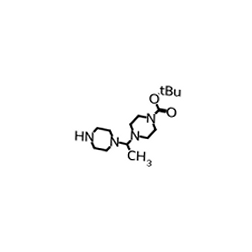 CC(N1CCNCC1)N1CCN(C(=O)OC(C)(C)C)CC1